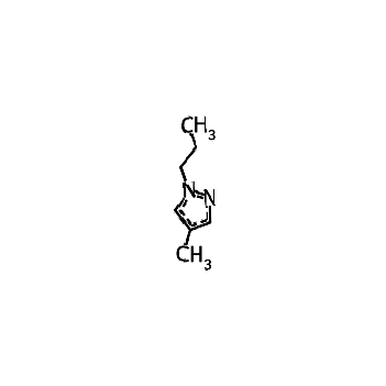 CCCn1cc(C)cn1